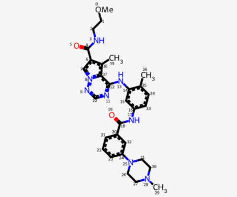 COCCNC(=O)c1cn2ncnc(Nc3cc(NC(=O)c4cccc(N5CCN(C)CC5)c4)ccc3C)c2c1C